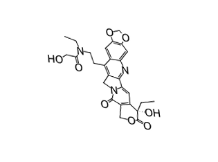 CCN(CCc1c2c(nc3cc4c(cc13)OCO4)-c1cc3c(c(=O)n1C2)COC(=O)[C@]3(O)CC)C(=O)CO